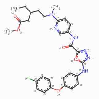 CCC(CCN(C)c1ccc(NC(=O)c2nnc(Nc3ccc(Oc4ccc(F)cc4)cc3)o2)cn1)CC(=O)OC